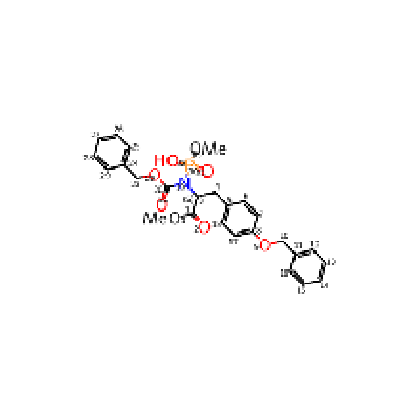 COC(=O)[C@H](Cc1ccc(OCc2ccccc2)cc1)N(C(=O)OCc1ccccc1)P(=O)(O)OC